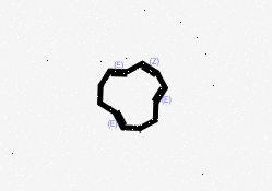 [CH]1/C=C/CC/C=C/C=C\C=C\C1